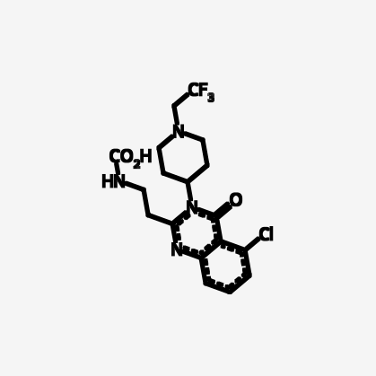 O=C(O)NCCc1nc2cccc(Cl)c2c(=O)n1C1CCN(CC(F)(F)F)CC1